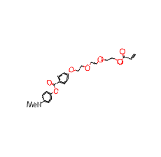 C=CC(=O)OCCOCCOCCOc1ccc(C(=O)Oc2ccc(NC)cc2)cc1